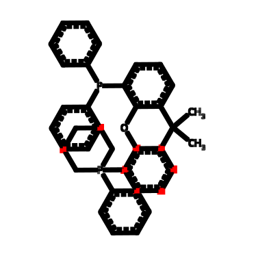 CC1(C)c2cccc(P(c3ccccc3)c3ccccc3)c2Oc2c1cccc2P1(c2ccccc2)(c2ccccc2)CCCCC1